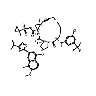 COc1ccc2c(O[C@@H]3C[C@H]4C(=O)N[C@]5(C(=O)NS(=O)(=O)C6(C)CC6)C[C@H]5/C=C\CCCCC[C@H](Nc5cc(Cl)cc(C(F)(F)F)c5)C(=O)N4C3)cc(-c3nc(C(C)C)cs3)nc2c1C